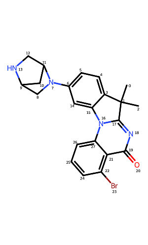 CC1(C)c2ccc(N3CC4CC3CN4)cc2-n2c1nc(=O)c1c(Br)cccc12